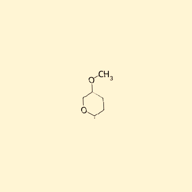 COC1CC[CH]OC1